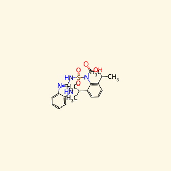 CC(C)c1cccc(C(C)C)c1N(C(=O)O)S(=O)(=O)Nc1nc2ccccc2[nH]1